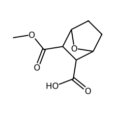 COC(=O)C1C2CCC(O2)C1C(=O)O